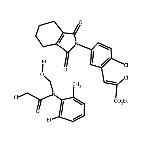 CCOC(=O)/C(Cl)=C/c1cc(N2C(=O)C3=C(CCCC3)C2=O)ccc1Cl.CCOCN(C(=O)CCl)c1c(C)cccc1CC